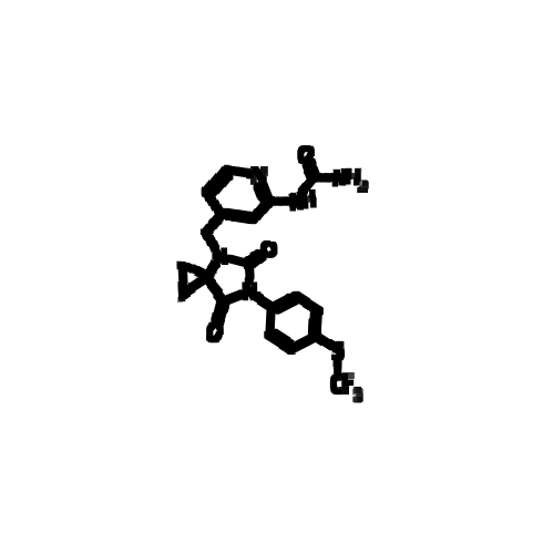 NC(=O)Nc1cc(CN2C(=O)N(c3ccc(SC(F)(F)F)cc3)C(=O)C23CC3)ccn1